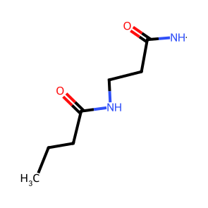 CCCC(=O)NCCC([NH])=O